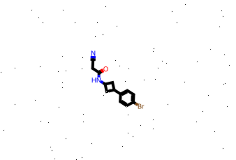 N#CCC(=O)NC1CC(c2ccc(Br)cc2)C1